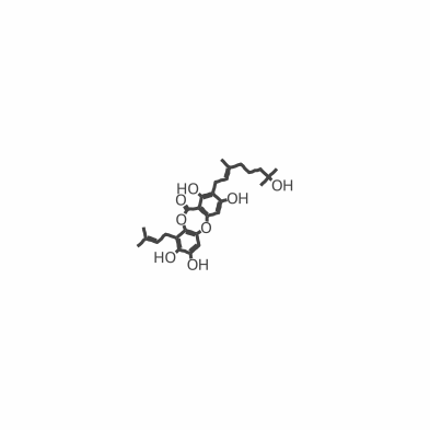 CC(C)=CCc1c(O)c(O)cc2c1OC(=O)c1c(cc(O)c(C/C=C(\C)CCCC(C)(C)O)c1O)O2